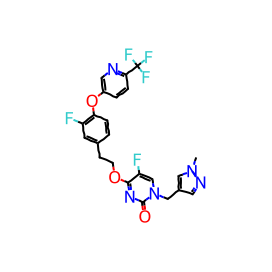 Cn1cc(Cn2cc(F)c(OCCc3ccc(Oc4ccc(C(F)(F)F)nc4)c(F)c3)nc2=O)cn1